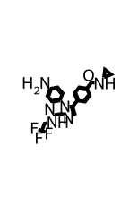 Nc1ccc2c(c1)nc(NCC(F)(F)F)c1ncc(-c3ccc(C(=O)NC4CC4)cc3)n12